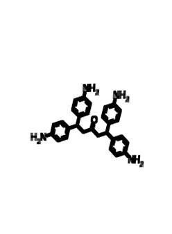 Nc1ccc(C(CC(=O)CC(c2ccc(N)cc2)c2ccc(N)cc2)c2ccc(N)cc2)cc1